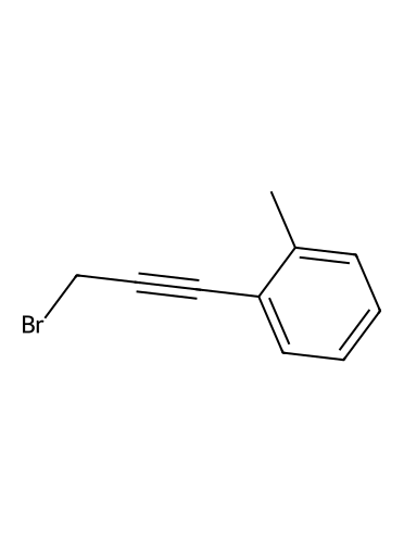 Cc1ccccc1C#CCBr